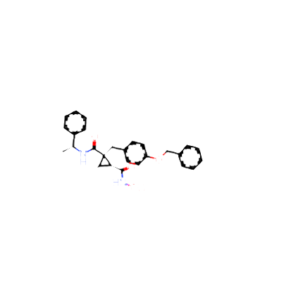 C[C@H](NC(=O)[C@@]1(Cc2ccc(OCc3ccccc3)cc2)C[C@@H]1C(=O)NO)c1ccccc1